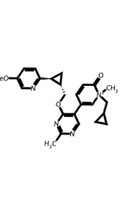 COc1ccc([C@H]2C[C@@H]2COc2nc(C)ncc2C2=C[N+](C)(CC3CC3)C(=O)C=C2)nc1